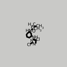 CC(C)(C)OC(=O)N[C@H]1CCCC[C@@H](Nc2nc(Cl)ncc2Cl)C1